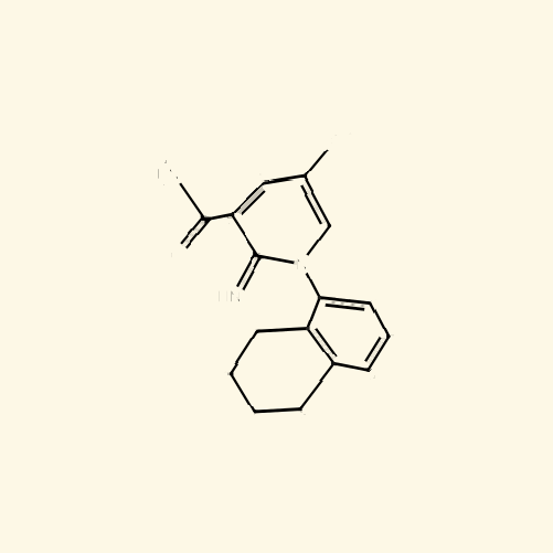 N=c1c(C(N)=O)cc(Cl)cn1-c1cccc2c1CCCC2